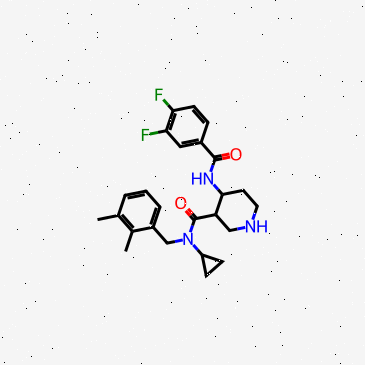 Cc1cccc(CN(C(=O)C2CNCCC2NC(=O)c2ccc(F)c(F)c2)C2CC2)c1C